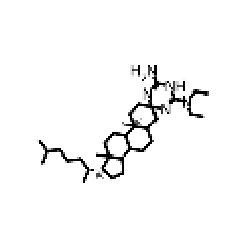 CCN(CC)C1=NC2(CC[C@]3(C)C(CCC4C5CC[C@H](C(C)CCCC(C)C)C5(C)CCC43)C2)N=C(N)N1